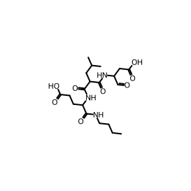 CCCCNC(=O)C(CCC(=O)O)NC(=O)C(CC(C)C)C(=O)NC(C=O)CC(=O)O